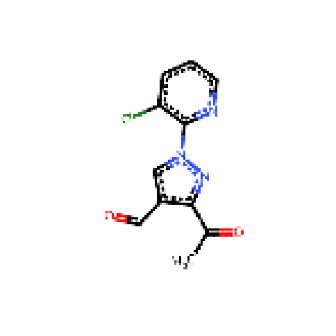 CC(=O)c1nn(-c2ncccc2Cl)cc1C=O